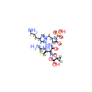 NCCCc1cnn(CC2C(NC(=O)/C(=N\OC3(C(=O)O)CC3)C3=CSC(N)N3)C(=O)N2S(=O)(=O)O)n1